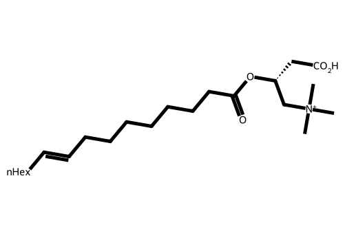 CCCCCCC=CCCCCCCCC(=O)O[C@H](CC(=O)O)C[N+](C)(C)C